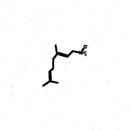 CC(C)=CCCC(C)=CC[NH2+][O-]